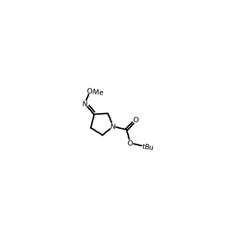 CO/N=C1/CCN(C(=O)OC(C)(C)C)C1